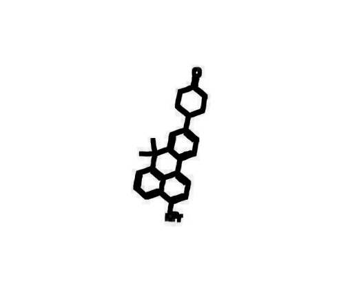 CCCc1ccc2c3c(cccc13)C(C)(C)c1cc(C3CCC(=O)CC3)ccc1-2